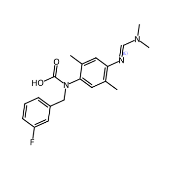 Cc1cc(N(Cc2cccc(F)c2)C(=O)O)c(C)cc1/N=C/N(C)C